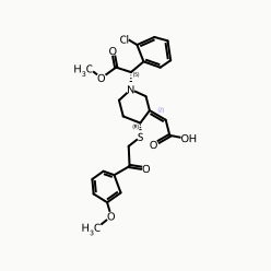 COC(=O)[C@H](c1ccccc1Cl)N1CC[C@@H](SCC(=O)c2cccc(OC)c2)/C(=C\C(=O)O)C1